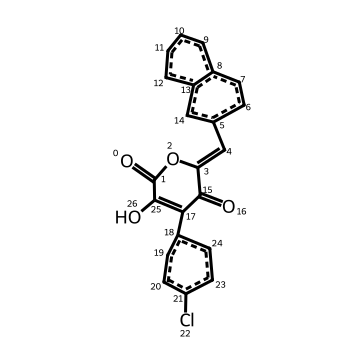 O=C1OC(=Cc2ccc3ccccc3c2)C(=O)C(c2ccc(Cl)cc2)=C1O